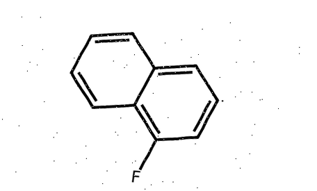 Fc1c[c]cc2ccccc12